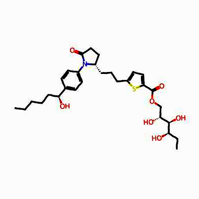 CCCCC[C@H](O)c1ccc(N2C(=O)CC[C@@H]2CCCc2ccc(C(=O)OC[C@@H](O)[C@@H](O)[C@H](O)CC)s2)cc1